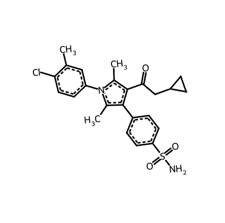 Cc1cc(-n2c(C)c(C(=O)CC3CC3)c(-c3ccc(S(N)(=O)=O)cc3)c2C)ccc1Cl